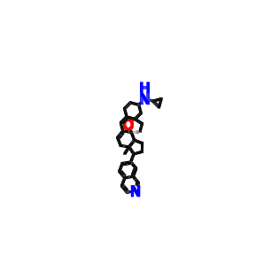 CC12CC=C3C=C4CCC(NC5CC5)CC45CC[C@]3(O5)C1CCC2c1ccc2ccncc2c1